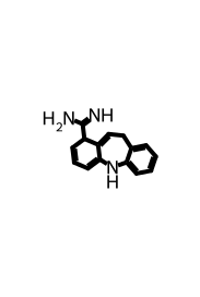 N=C(N)C1C=CC=C2Nc3ccccc3CC=C21